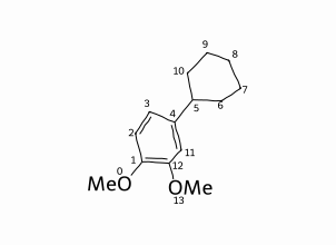 COc1ccc(C2CCCCC2)cc1OC